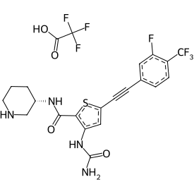 NC(=O)Nc1cc(C#Cc2ccc(C(F)(F)F)c(F)c2)sc1C(=O)N[C@H]1CCCNC1.O=C(O)C(F)(F)F